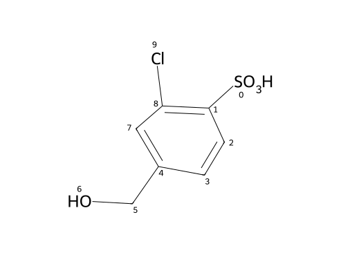 O=S(=O)(O)c1ccc(CO)cc1Cl